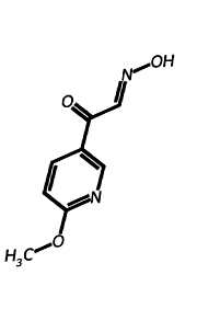 COc1ccc(C(=O)C=NO)cn1